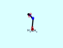 CC1(C)OCC(COCCCCCCCCCCCCn2cc(CCCCN3C(=O)C4C=CC=CC4C3=O)nn2)O1